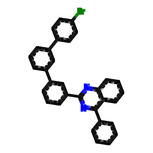 Brc1ccc(-c2cccc(-c3cccc(-c4nc(-c5ccccc5)c5ccccc5n4)c3)c2)cc1